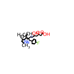 Cc1cc(C)n2nc(-c3ccc(F)cc3)c(/C=C/C(O)CC(=O)CC(=O)O)c(C(C)C)c12